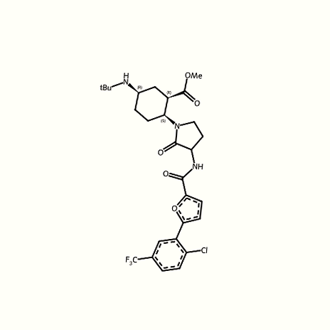 COC(=O)[C@@H]1C[C@H](NC(C)(C)C)CC[C@@H]1N1CCC(NC(=O)c2ccc(-c3cc(C(F)(F)F)ccc3Cl)o2)C1=O